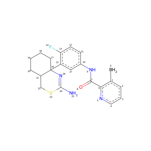 Bc1cccnc1C(=O)Nc1ccc(F)c(C23CCCCC2CSC(N)=N3)c1